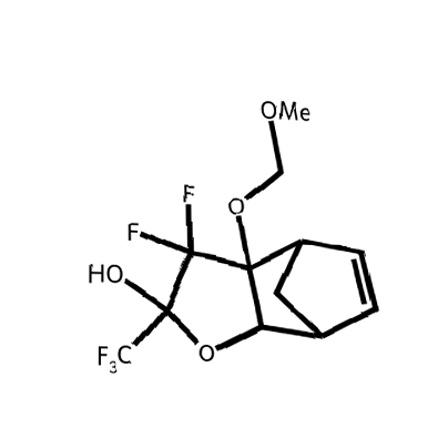 COCOC12C3C=CC(C3)C1OC(O)(C(F)(F)F)C2(F)F